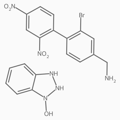 NCc1ccc(-c2ccc([N+](=O)[O-])cc2[N+](=O)[O-])c(Br)c1.ON1NNc2ccccc21